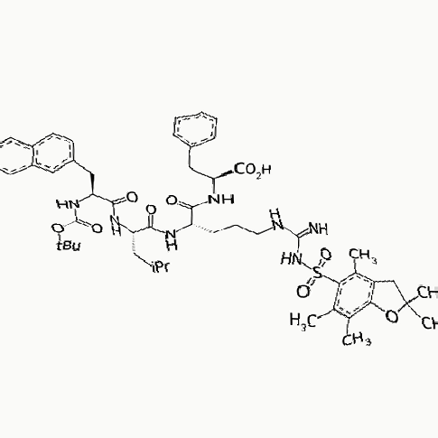 Cc1c(C)c(S(=O)(=O)NC(=N)NCCC[C@H](NC(=O)[C@H](CC(C)C)NC(=O)[C@H](Cc2ccc3ccccc3c2)NC(=O)OC(C)(C)C)C(=O)N[C@@H](Cc2ccccc2)C(=O)O)c(C)c2c1OC(C)(C)C2